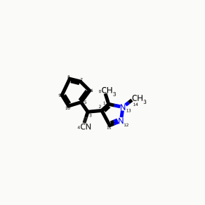 Cc1c(C(C#N)c2ccccc2)cnn1C